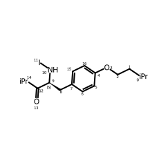 CC(C)CCOc1ccc(C[C@H](NI)C(=O)C(C)C)cc1